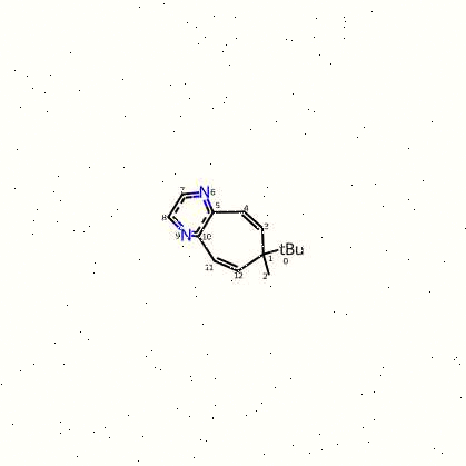 CC(C)(C)C1(C)C=Cc2nccnc2C=C1